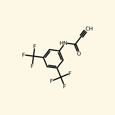 C#CC(=O)Nc1cc(C(F)(F)F)cc(C(F)(F)F)c1